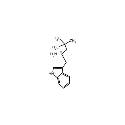 CC(C)(C)C[C@@H](N)Cc1c[nH]c2ccccc12